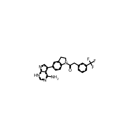 Nc1nc[nH]c2ncc(-c3ccc4c(c3)CCN4C(=O)Cc3cccc(C(F)(F)F)c3)c1-2